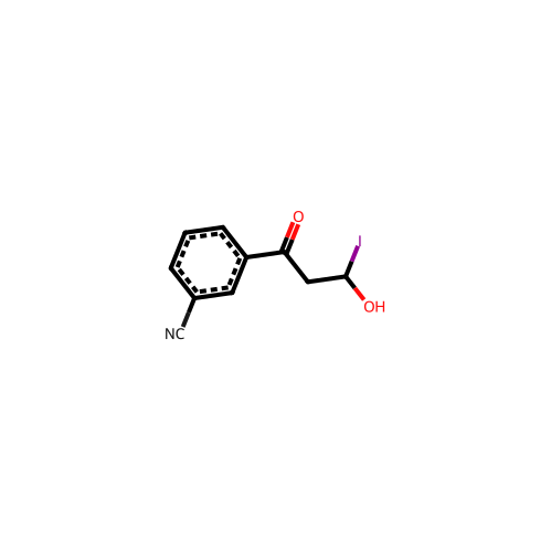 N#Cc1cccc(C(=O)CC(O)I)c1